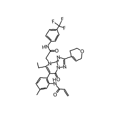 C=CC(=O)Nc1cc(C)ccc1-c1c(CC)n(CC(=O)Nc2ccc(C(F)(F)F)cc2)c2nc(C3=CCOCC3)nn2c1=O